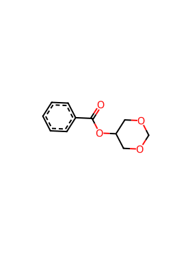 O=C(OC1COCOC1)c1ccccc1